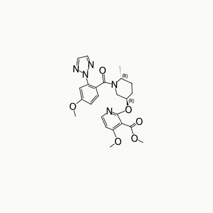 COC(=O)c1c(OC)ccnc1O[C@@H]1CC[C@@H](C)N(C(=O)c2ccc(OC)cc2-n2nccn2)C1